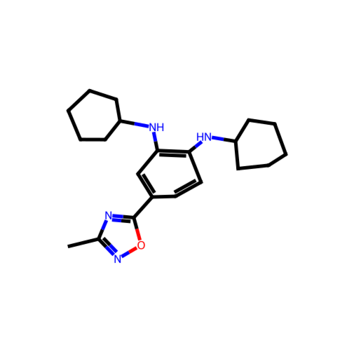 Cc1noc(-c2ccc(NC3CCCCC3)c(NC3CCCCC3)c2)n1